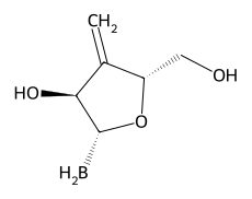 B[C@H]1O[C@@H](CO)C(=C)[C@@H]1O